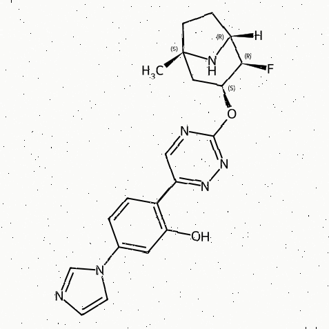 C[C@@]12CC[C@@H](N1)[C@@H](F)[C@@H](Oc1ncc(-c3ccc(-n4ccnc4)cc3O)nn1)C2